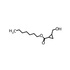 CCCCCCCOC(=O)C1CC1CO